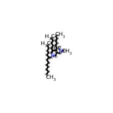 CCCCCCCCC(CCCCCC)CN(CCCN(C)C)CC(CCCCCC)CCCCCCCC